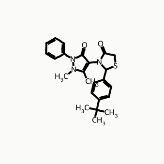 Cc1c(N2C(=O)CSC2c2ccc(C(C)(C)C)cc2)c(=O)n(-c2ccccc2)n1C